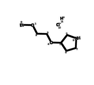 CCOCCOC1CCNC1.[Cl-].[H+]